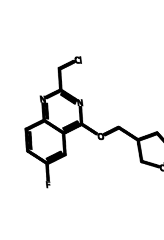 Fc1ccc2nc(CCl)nc(OCC3CCOC3)c2c1